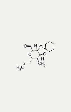 C=CC[C@@H]1O[C@@H](C=O)[C@H]2OC3(CCCCC3)O[C@H]2[C@H]1C